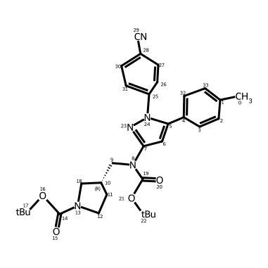 Cc1ccc(-c2cc(N(C[C@@H]3CCN(C(=O)OC(C)(C)C)C3)C(=O)OC(C)(C)C)nn2-c2ccc(C#N)cc2)cc1